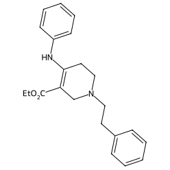 CCOC(=O)C1=C(Nc2ccccc2)CCN(CCc2ccccc2)C1